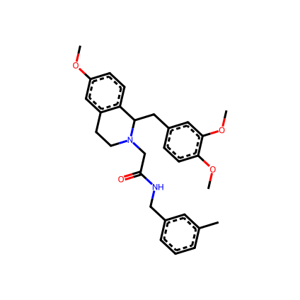 COc1ccc2c(c1)CCN(CC(=O)NCc1cccc(C)c1)C2Cc1ccc(OC)c(OC)c1